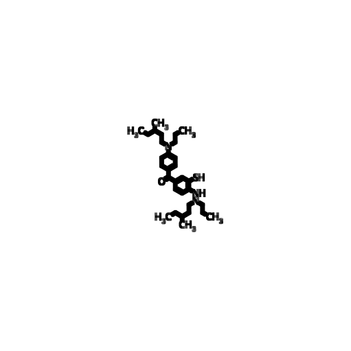 CCCN(CCC(C)CC)Nc1ccc(C(=O)C2=CC=C(N(CCC)CCC(C)CC)CC2)cc1S